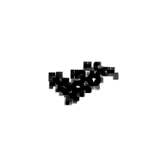 C=C(C)c1ccc2c(c1)C(O)c1cc(-n3ccc(C(F)(F)F)n3)c(C(F)(F)F)nc1S2